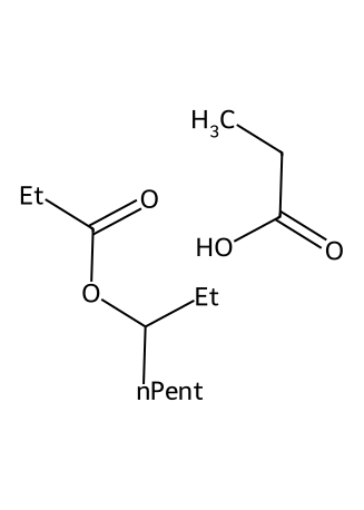 CCC(=O)O.CCCCCC(CC)OC(=O)CC